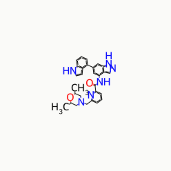 CC1CN(Cc2cccc(C(=O)Nc3cc(-c4cccc5[nH]ccc45)cc4[nH]ncc34)n2)CC(C)O1